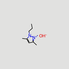 CCCn1c(C)cc(C)[n+]1C.[OH-]